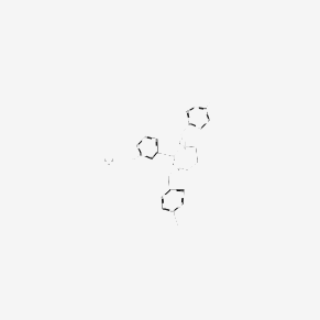 COc1cccc(C2N(Cc3ccc(C)cc3)CCCN2Cc2ccc(F)cc2)c1